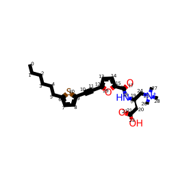 CCCCCCc1ccc(C#Cc2ccc(C(=O)N[C@H](CC(=O)O)C[N+](C)(C)C)o2)s1